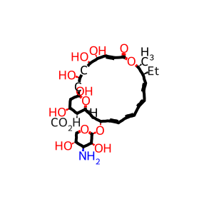 CC[C@H]1/C=C/C=C/C=C/C=C/[C@H](O[C@@H]2OC[C@@H](O)[C@H](N)[C@@H]2O)C[C@@H]2O[C@](O)(C[C@@H](O)C[C@@H](O)[C@H](O)/C=C/C(=O)O[C@@H]1C)C[C@H](O)[C@H]2C(=O)O